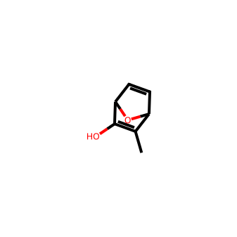 CC1=C(O)C2C=CC1O2